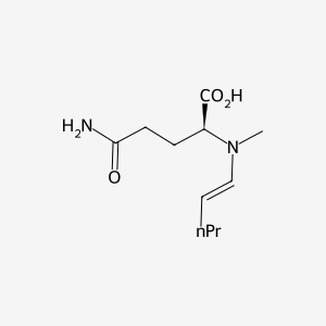 CCCC=CN(C)[C@@H](CCC(N)=O)C(=O)O